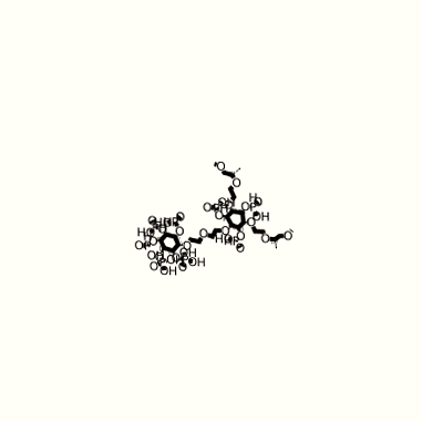 COC[C@H](C)OCCO[C@@H]1[C@@H](O[PH](=O)O)[C@H](OCCO[C@@H](C)COC)[C@@H](O[PH](=O)O)[C@@H](OCCOCCO[C@H]2[C@@H](O[PH](=O)O)[C@H](O[PH](=O)O)[C@@H](O[PH](=O)O)[C@H](OP(=O)(O)O)[C@H]2OP(=O)(O)O)[C@H]1O[PH](=O)O